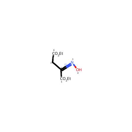 CCOC(=O)C/C(=N/O)C(=O)OCC